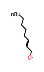 CCCCCCCCC=CC[O]